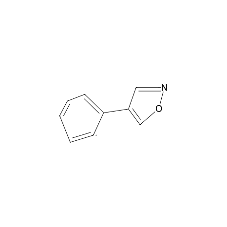 [c]1ccccc1-c1cnoc1